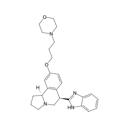 c1ccc2[nH]c([C@H]3CN4CCC[C@H]4c4cc(OCCCN5CCOCC5)ccc43)nc2c1